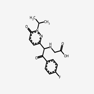 CC(C)n1nc(C(NCC(=O)O)C(=O)c2ccc(F)cc2)ccc1=O